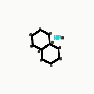 C1CCC2CCCCC2C1.F